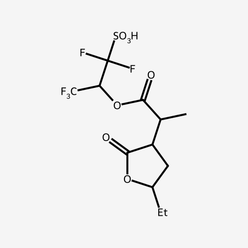 CCC1CC(C(C)C(=O)OC(C(F)(F)F)C(F)(F)S(=O)(=O)O)C(=O)O1